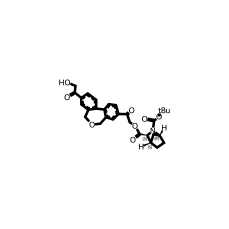 CC(C)(C)OC(=O)N1[C@@H]2CC[C@@H](C2)[C@H]1C(=O)OCC(=O)c1ccc2c(c1)COCc1cc(C(=O)CO)ccc1-2